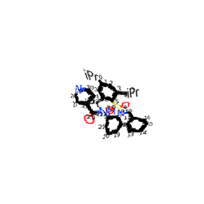 CC(C)c1cc(C(C)C)c(S(=O)(=O)N(Cc2ccccc2)c2ccccc2NC(=O)c2ccncc2)c(C(C)C)c1